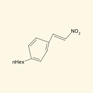 CCCCCCc1ccc(/C=C/[N+](=O)[O-])cc1